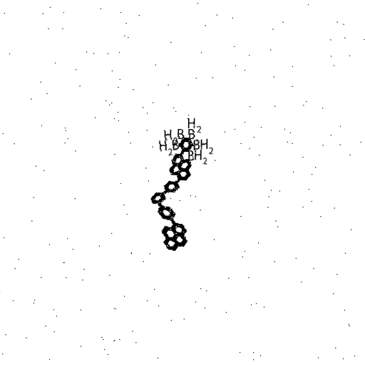 Bc1c(B)c(B)c(-c2ccc3ccc4c(-c5ccc(-c6cccc(-c7ccc(-c8ccc9ccc%10cccc%11ccc8c9c%10%11)cc7)c6)cc5)ccc5ccc2c3c54)c(B)c1B